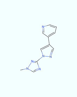 Cn1cnc(-n2cc(-c3cccnc3)cn2)n1